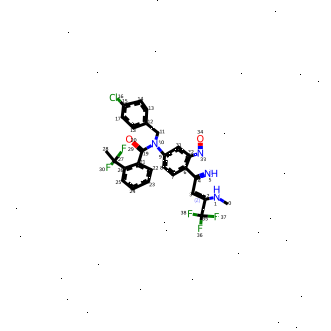 CN/C(=C\C(=N)c1ccc(N(Cc2ccc(Cl)cc2)C(=O)c2ccccc2C(C)(F)F)cc1N=O)C(F)(F)F